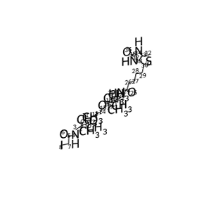 CC(C)(CNC(=O)CI)C(C)(C)OCCOC(C)(C)C(C)(C)CNC(=O)CCCCC1SCC2NC(=O)NC21